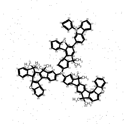 CC1(C)c2cc(N(c3ccc4c(c3)C(C)(C)c3cc(-c5ccc6c7ccccc7n(-c7ccccc7)c6c5)c5oc6ccccc6c5c3-4)c3ccc4c(c3)C(C)(C)c3c5c(c6oc7ccccc7c6c3-4)-c3ccccc3C5(C)C)ccc2-c2cc3c(cc21)-c1c(ccc2oc4ccccc4c12)C3(C)C